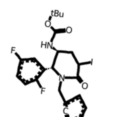 CC(C)(C)OC(=O)N[C@H]1CC(I)C(=O)N(Cc2ccccc2)[C@@H]1c1cc(F)ccc1F